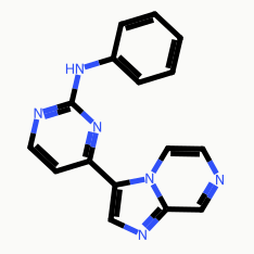 c1ccc(Nc2nccc(-c3cnc4cnccn34)n2)cc1